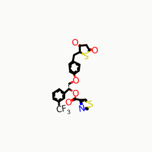 O=C1CC(=O)C(Cc2ccc(OC[C@H](OC(=O)c3cscn3)c3cccc(C(F)(F)F)c3)cc2)S1